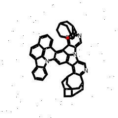 c1cc2ccc3c4ccccc4n4c5cc6c7c8c(ncc7n7c9cnc%10c(c9c(c5c(c1)c2c34)c67)C1CC2CC(CC%10C2)C1)C1CC2CC3CC8CC23C1